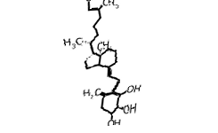 C=C1CC(O)[C@H](O)C(O)/C1=C/C=C1CCC[C@@]2(C)C1CC[C@@H]2[C@H](C)CCCC(C)CCl